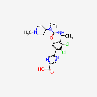 CC(NC(=O)N(C)C1CCN(C)CC1)c1ccc(-c2cnc(C(=O)O)cn2)c(Cl)c1Cl